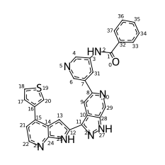 O=C(Nc1cncc(-c2cc3c(-c4cc5c(-c6ccsc6)ccnc5[nH]4)n[nH]c3cn2)c1)c1ccccc1